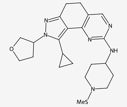 CSN1CCC(Nc2ncc3c(n2)-c2c(nn(C4CCOC4)c2C2CC2)CC3)CC1